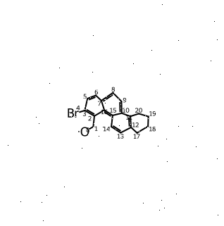 [O]Cc1c(Br)ccc2ccc3c4c(ccc3c12)CCCC4